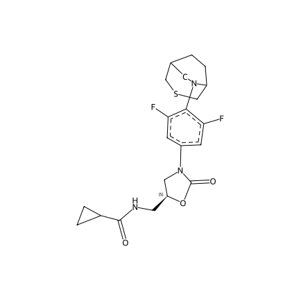 O=C(NC[C@H]1CN(c2cc(F)c(N3CC4CCC3CSC4)c(F)c2)C(=O)O1)C1CC1